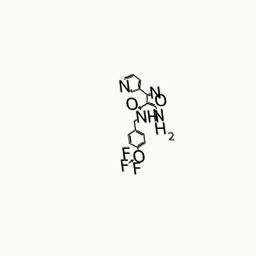 Nc1onc(-c2cccnc2)c1C(=O)NCc1ccc(OC(F)(F)F)cc1